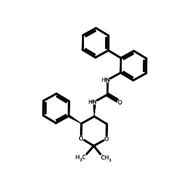 CC1(C)OC[C@H](NC(=O)Nc2ccccc2-c2ccccc2)[C@H](c2ccccc2)O1